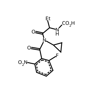 CCC(NC(=O)O)C(=O)N(C(=O)c1c(F)cccc1[N+](=O)[O-])C1CC1